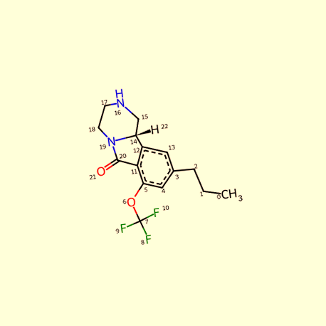 CCCc1cc(OC(F)(F)F)c2c(c1)[C@H]1CNCCN1C2=O